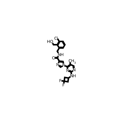 Cc1cnc(NC2CC(F)(F)C2)nc1-n1cnc(C(=O)NCc2cccc(Cl)c2CO)c1